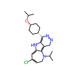 CC(C)O[C@H]1CC[C@H](C2=c3[nH]c4c(c3CN=N2)N(C(C)C)CC=C(Cl)C=4)CC1